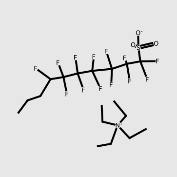 CCCC(F)C(F)(F)C(F)(F)C(F)(F)C(F)(F)C(F)(F)C(F)(F)S(=O)(=O)[O-].CC[N+](CC)(CC)CC